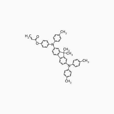 C=CC(=O)Oc1ccc(N(c2ccc(C)cc2)c2ccc3c(c2)C(C)(C)c2cc(N(c4ccc(C)cc4)c4ccc(C)cc4)ccc2-3)cc1